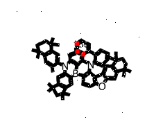 Cc1cc2c(cc1N1c3cc4c(cc3B3c5ccc6oc7cc8c(cc7c6c5N(c5ccccc5-c5ccccc5)c5cc(C(C)(C)C)cc1c53)C(C)(C)CCC8(C)C)C(C)(C)CC4(C)C)C(C)(C)CCC2(C)C